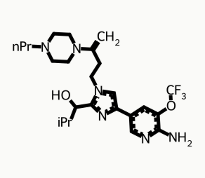 C=C(CCn1cc(-c2cnc(N)c(OC(F)(F)F)c2)nc1C(O)C(C)C)N1CCN(CCC)CC1